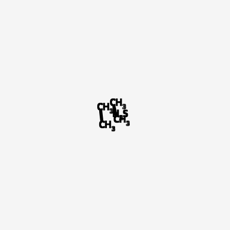 CC.CC.S